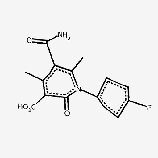 Cc1c(C(N)=O)c(C)n(-c2ccc(F)cc2)c(=O)c1C(=O)O